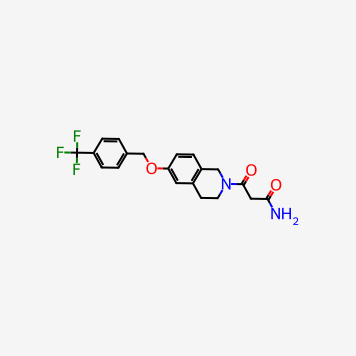 NC(=O)CC(=O)N1CCc2cc(OCc3ccc(C(F)(F)F)cc3)ccc2C1